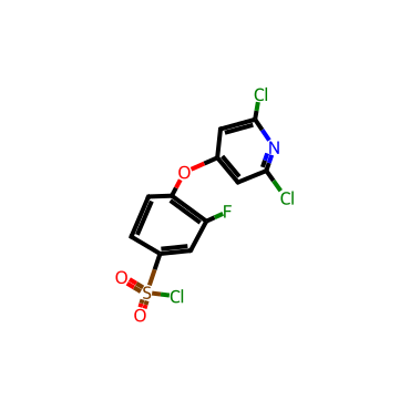 O=S(=O)(Cl)c1ccc(Oc2cc(Cl)nc(Cl)c2)c(F)c1